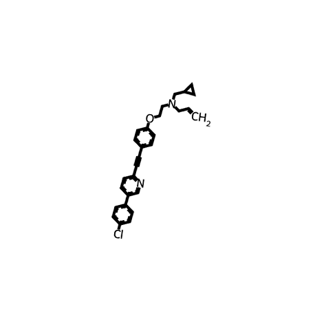 C=CCN(CCOc1ccc(C#Cc2ccc(-c3ccc(Cl)cc3)cn2)cc1)CC1CC1